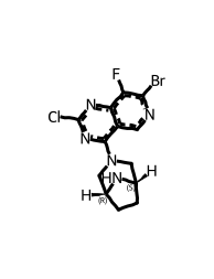 Fc1c(Br)ncc2c(N3C[C@H]4CC[C@@H](C3)N4)nc(Cl)nc12